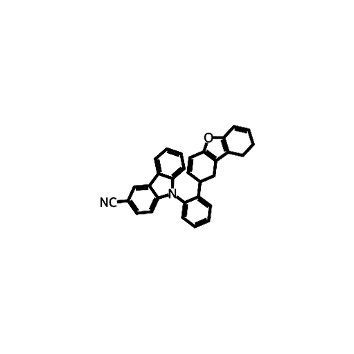 N#Cc1ccc2c(c1)c1ccccc1n2-c1ccccc1C1C=Cc2oc3c(c2C1)CCC=C3